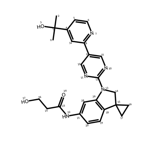 CC(C)(O)c1ccnc(-c2cnc(N3CC4(CC4)c4ccc(NC(=O)CCO)cc43)nc2)c1